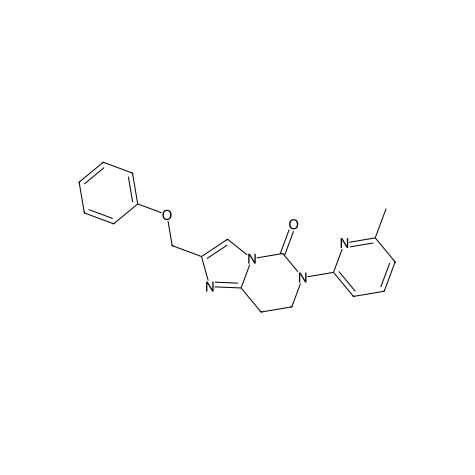 Cc1cccc(N2CCc3nc(COc4ccccc4)cn3C2=O)n1